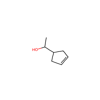 CC(O)C1CC=CC1